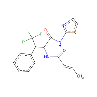 CC=CC(=O)NC(C(=O)Nc1nccs1)C(c1ccccc1)C(F)(F)F